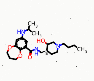 CCCCN1CC[C@@H](CNC(=O)c2cc(NC(C)C)cc3c2OCCCO3)C(O)C1